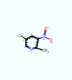 Cc1ncc(Cl)cc1[N+](=O)[O-]